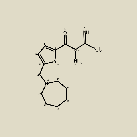 N=C(N)N(N)C(=O)c1ccc(CN2CCCCCC2)s1